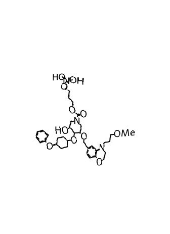 COCCCN1CCOc2ccc(COC3CN(C(=O)OCCCON(O)O)CC(O)C3OC3CCC(Oc4ccccc4)CC3)cc21